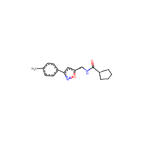 Cc1ccc(-c2cc(CNC(=O)C3CCCC3)on2)cc1